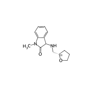 CN1C(=O)C(NC[C@@H]2CCCO2)c2ccccc21